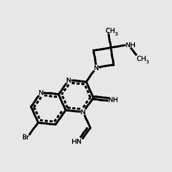 CNC1(C)CN(c2nc3ncc(Br)cc3n(C=N)c2=N)C1